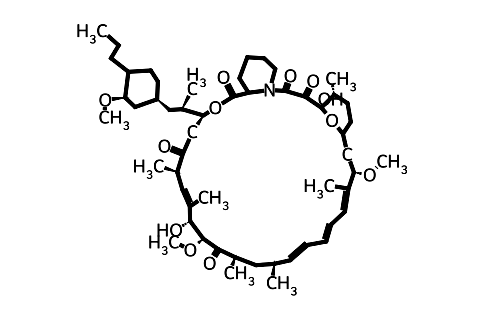 CCCC1CC[C@@H](C[C@@H](C)[C@@H]2CC(=O)[C@H](C)/C=C(\C)[C@@H](O)[C@@H](OC)C(=O)[C@H](C)C[C@H](C)/C=C/C=C/C=C(\C)[C@@H](OC)CC3CC[C@@H](C)[C@@](O)(O3)C(=O)C(=O)N3CCCCC3C(=O)O2)C[C@H]1OC